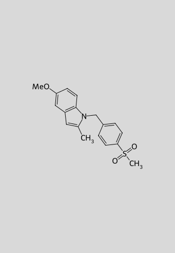 COc1ccc2c(c1)cc(C)n2Cc1ccc(S(C)(=O)=O)cc1